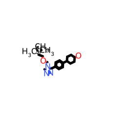 C[Si](C)(C)CCOCn1cnnc1-c1ccc(C2CCC(=O)CC2)cc1